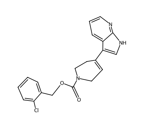 O=C(OCc1ccccc1Cl)N1CC=C(c2c[nH]c3ncccc23)CC1